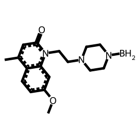 BN1CCN(CCn2c(=O)cc(C)c3ccc(OC)cc32)CC1